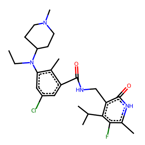 CCN(c1cc(Cl)cc(C(=O)NCc2c(C(C)C)c(F)c(C)[nH]c2=O)c1C)C1CCN(C)CC1